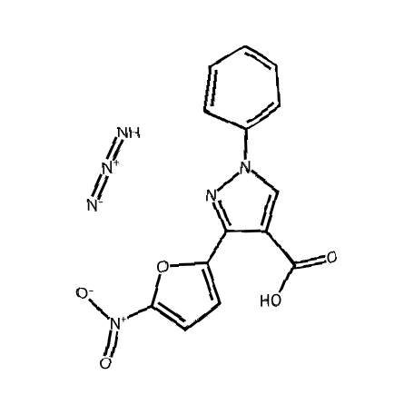 O=C(O)c1cn(-c2ccccc2)nc1-c1ccc([N+](=O)[O-])o1.[N-]=[N+]=N